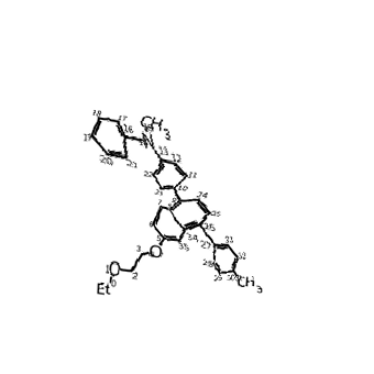 CCOCCOc1ccc2c(-c3ccc(N(C)c4ccccc4)cc3)ccc(-c3ccc(C)cc3)c2c1